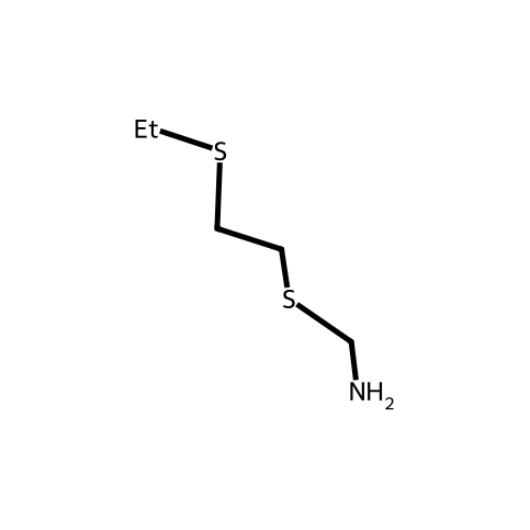 CCSCCSCN